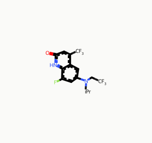 CC(C)N(CC(F)(F)F)c1cc(F)c2[nH]c(=O)cc(C(F)(F)F)c2c1